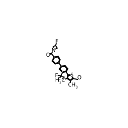 Cc1c(C=O)sc(-c2ccc(-c3ccc(C(=O)N4CC(F)C4)cc3)cc2C(F)(F)F)c1C